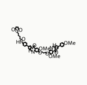 COc1ccc(C2=CN3C(=O)c4cc(OC)c(OCCCOc5cc6c(cc5OC)C(=O)N5C=C(c7ccc(NC(=O)CCCCCN8C(=O)C=CC8=O)cc7)CC5(I)C=N6)cc4N=C[C@@H]3C2)cc1